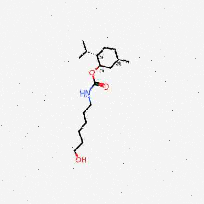 CC(C)[C@@H]1CC[C@@H](C)C[C@H]1OC(=O)NCCCCCCO